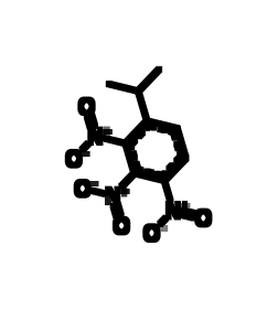 CC(C)c1ccc([N+](=O)[O-])c([N+](=O)[O-])c1[N+](=O)[O-]